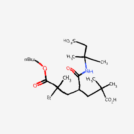 CCCCOC(=O)C(C)(CC)CC(CC(C)(C)C(=O)O)C(=O)NC(C)(C)CS(=O)(=O)O